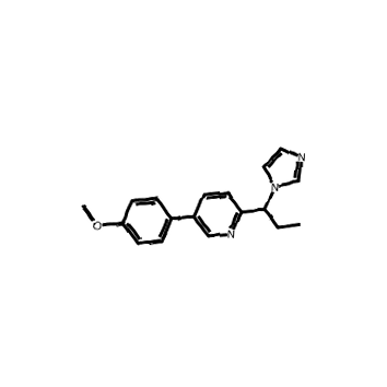 CCC(c1ccc(-c2ccc(OC)cc2)cn1)n1ccnc1